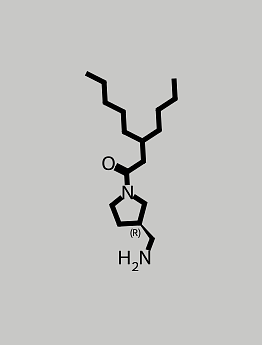 CCCCCC(CCCC)CC(=O)N1CC[C@H](CN)C1